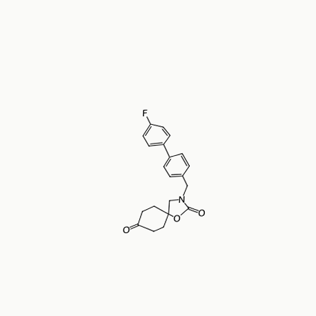 O=C1CCC2(CC1)CN(Cc1ccc(-c3ccc(F)cc3)cc1)C(=O)O2